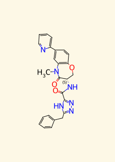 CN1C(=O)[C@@H](NC(=O)c2nnc(Cc3ccccc3)[nH]2)COc2ccc(-c3ccccn3)cc21